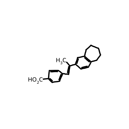 CC(=Cc1ccc(C(=O)O)cc1)c1ccc2c(c1)CCCCC2